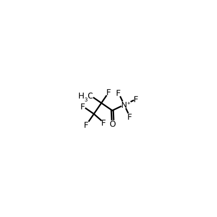 CC(F)(C(=O)[N+](F)(F)F)C(F)(F)F